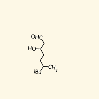 CCC(C)C(C)CCC(O)CC=O